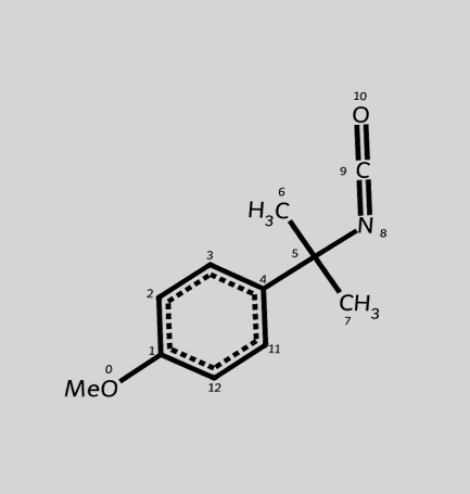 COc1ccc(C(C)(C)N=C=O)cc1